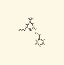 CSc1nc(O)cc(CCCc2ccccc2)n1